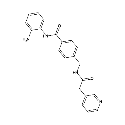 Nc1ccccc1NC(=O)c1ccc(CNC(=O)Cc2cccnc2)cc1